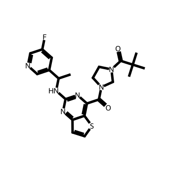 CC(Nc1nc(C(=O)N2CCN(C(=O)C(C)(C)C)C2)c2sccc2n1)c1cncc(F)c1